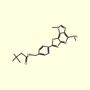 CNc1nc2nc(-c3ccc(CNC(=O)CC(C)(C)C)cc3)sc2c2c1ncn2C